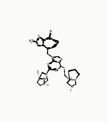 Nc1cc2c(Cn3cnc4c(OC[C@@]56CCCN5C[C@H](F)C6)nc(N5C[C@H]6CC[C@@H](C5)N6)nc43)ccc(F)c2s1